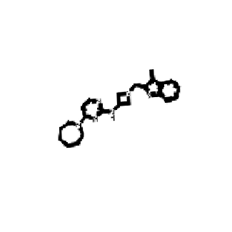 Cc1c(CN2CC(Nc3nccc(N4CCCCCC4)n3)C2)sc2ccccc12